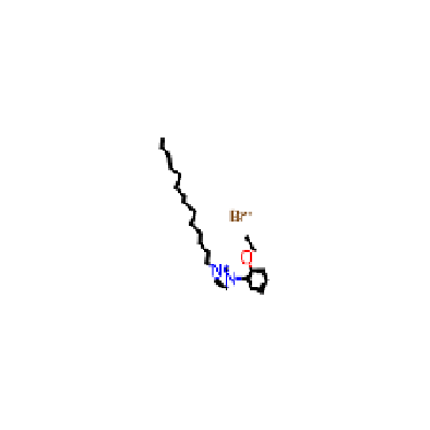 CCCCCCCCCCCCCC[n+]1ccn(-c2ccccc2OCC)c1.[Br-]